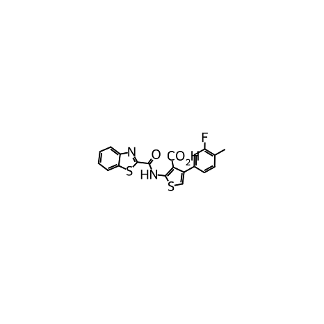 Cc1ccc(-c2csc(NC(=O)c3nc4ccccc4s3)c2C(=O)O)cc1F